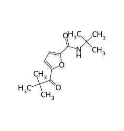 CC(C)(C)NC(=O)c1ccc(C(=O)C(C)(C)C)o1